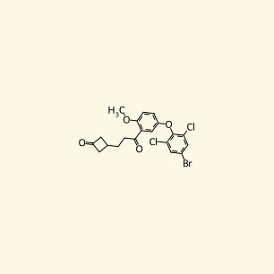 COc1ccc(Oc2c(Cl)cc(Br)cc2Cl)cc1C(=O)CCC1CC(=O)C1